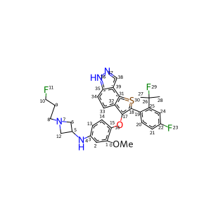 COc1cc(NC2CN(CCCF)C2)ccc1Oc1c(-c2ccc(F)cc2C(C)(C)F)sc2c1ccc1[nH]ncc12